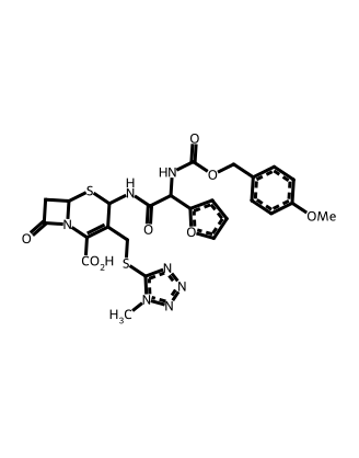 COc1ccc(COC(=O)NC(C(=O)NC2SC3CC(=O)N3C(C(=O)O)=C2CSc2nnnn2C)c2ccco2)cc1